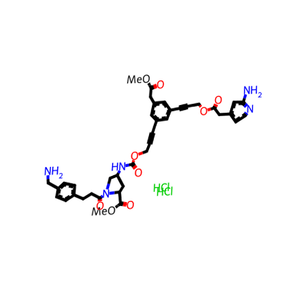 COC(=O)Cc1cc(C#CCOC(=O)Cc2ccnc(N)c2)cc(C#CCOC(=O)NC2CC(C(=O)OC)N(C(=O)CCc3ccc(CN)cc3)C2)c1.Cl.Cl